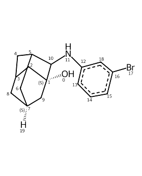 O[C@@]12CC3CC(C[C@H](C3)C1)C2Nc1cccc(Br)c1